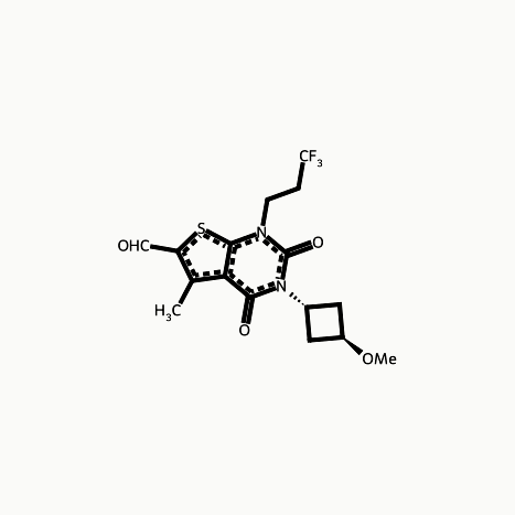 CO[C@H]1C[C@H](n2c(=O)c3c(C)c(C=O)sc3n(CCC(F)(F)F)c2=O)C1